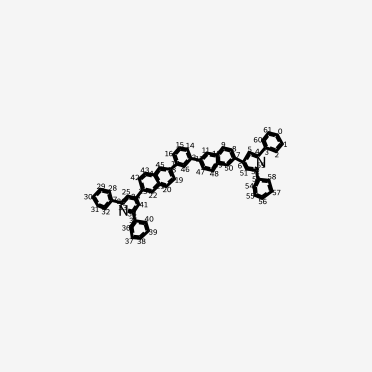 c1ccc(-c2cc(-c3ccc4cc(-c5cccc(-c6ccc7cc(-c8cc(-c9ccccc9)nc(-c9ccccc9)c8)ccc7c6)c5)ccc4c3)cc(-c3ccccc3)n2)cc1